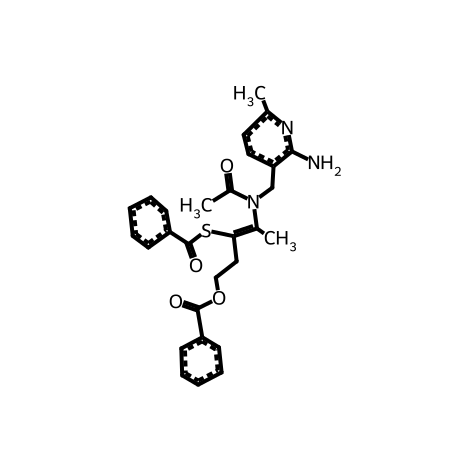 CC(=O)N(Cc1ccc(C)nc1N)/C(C)=C(/CCOC(=O)c1ccccc1)SC(=O)c1ccccc1